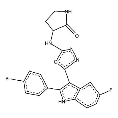 O=C1NCCC1Nc1nnc(-c2c(-c3ccc(Br)cc3)[nH]c3ccc(F)cc23)o1